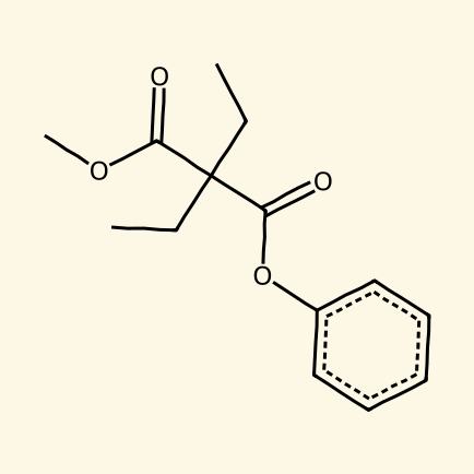 CCC(CC)(C(=O)OC)C(=O)Oc1ccccc1